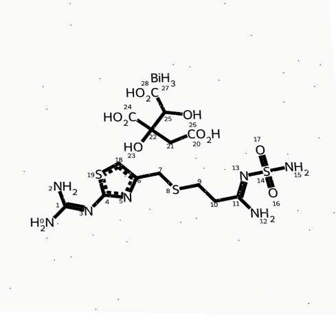 NC(N)=Nc1nc(CSCCC(N)=NS(N)(=O)=O)cs1.O=C(O)CC(O)(C(=O)O)C(O)C(=O)O.[BiH3]